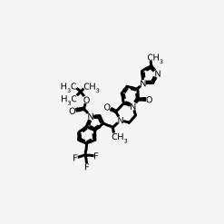 Cc1cn(-c2ccc3n(c2=O)CCN(C(C)c2cn(C(=O)OC(C)(C)C)c4ccc(C(F)(F)F)cc24)C3=O)cn1